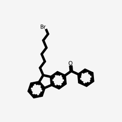 O=C(c1ccccc1)c1ccc2c(c1)C(CCCCCCBr)c1ccccc1-2